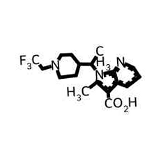 Cc1c(C(=O)O)c2cccnc2n1C(C)C1CCN(CC(F)(F)F)CC1